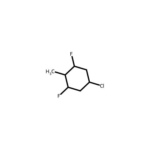 CC1C(F)CC(Cl)CC1F